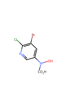 O=C(O)N(O)c1cnc(Cl)c(Br)c1